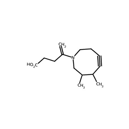 C=C(CCC(=O)O)N1CCC#CC(C)C(C)C1